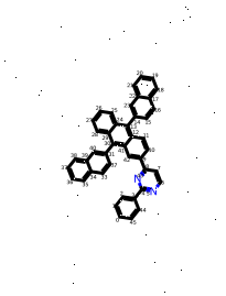 c1ccc(-c2nccc(-c3ccc4c(-c5ccc6ccccc6c5)c5ccccc5c(-c5ccc6ccccc6c5)c4c3)n2)cc1